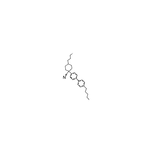 CCCCCc1ccc(-c2ccc(C3(C#N)CCC(CCCC)CC3)cc2)cc1